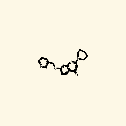 O=c1cc(N2CCCCC2)oc2cc(OCc3cccnc3)ccc12